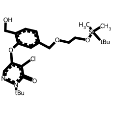 CC(C)(C)n1ncc(Oc2cc(COCCO[Si](C)(C)C(C)(C)C)ccc2CO)c(Cl)c1=O